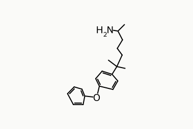 CC(N)CCCC(C)(C)c1ccc(Oc2ccccc2)cc1